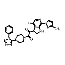 Cc1ccn(-c2ncc(F)c3c2NCC3C(=O)C(=O)N2CCN(c3nnnn3-c3ccccc3)CC2)n1